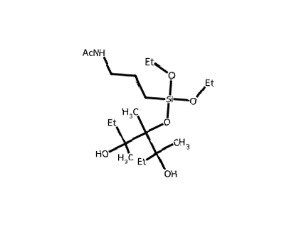 CCO[Si](CCCNC(C)=O)(OCC)OC(C)(C(C)(O)CC)C(C)(O)CC